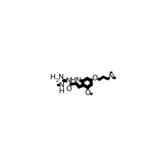 CNC(N)=NC(=O)c1cc2c(OC)cc(OCCCN(C)C)cc2[nH]1